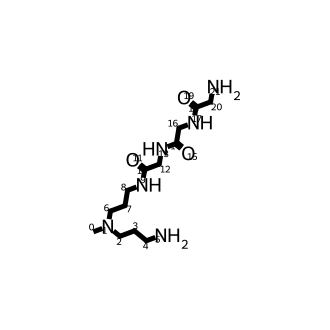 CN(CCCN)CCCNC(=O)CNC(=O)CNC(=O)CN